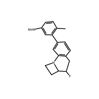 CNc1ccc(C)c(-c2ccc3c(c2)N2CCC2C(F)C3)c1